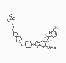 COc1cc2nn(C3CCC(CN4CCC5(CC4)CC(CCCOS(C)(=O)=O)C5)CC3)cc2cc1NC(=O)c1cccc(C(F)(F)F)n1